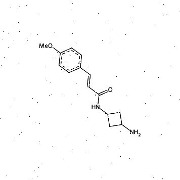 COc1ccc(/C=C/C(=O)NC2CC(N)C2)cc1